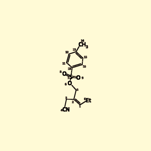 CC/C=C(/CC#N)COS(=O)(=O)c1ccc(C)cc1